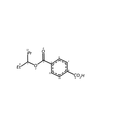 CCC(OC(=O)c1ccc(C(=O)O)cc1)C(C)C